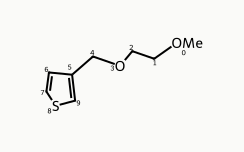 COCCOCc1ccsc1